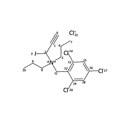 C#CC(I)[N+](CCC)(CCC)Cc1c(Cl)cc(Cl)cc1Cl.[Cl-]